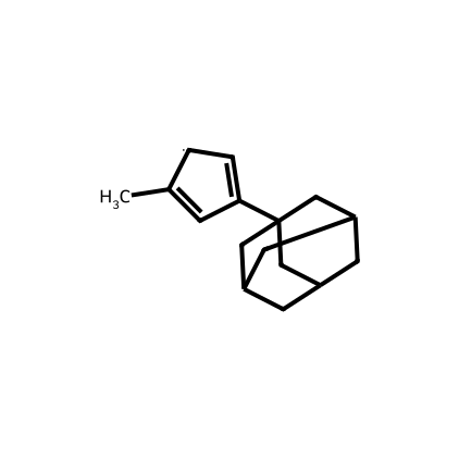 CC1=CC(C23CC4CC(CC(C4)C2)C3)=C[CH]1